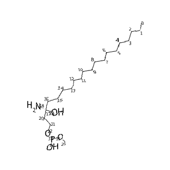 CCCCCCCCCCCCCCCCC[C@@](N)(O)CCOP(O)OC